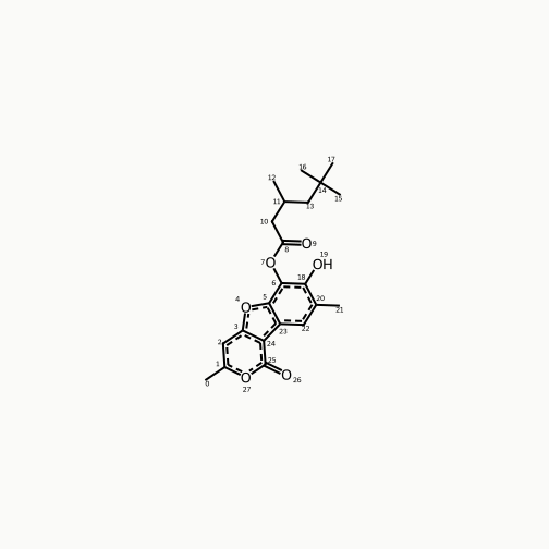 Cc1cc2oc3c(OC(=O)CC(C)CC(C)(C)C)c(O)c(C)cc3c2c(=O)o1